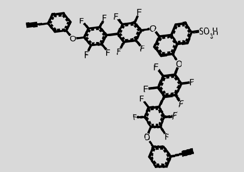 C#Cc1cccc(Oc2c(F)c(F)c(-c3c(F)c(F)c(Oc4ccc(Oc5c(F)c(F)c(-c6c(F)c(F)c(Oc7cccc(C#C)c7)c(F)c6F)c(F)c5F)c5cc(S(=O)(=O)O)ccc45)c(F)c3F)c(F)c2F)c1